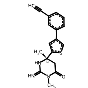 C#Cc1cccc(-c2csc([C@]3(C)CC(=O)N(C)C(=N)N3)c2)c1